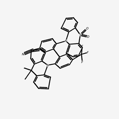 CC1(C)c2ccccc2N(c2ccc(C(F)(F)F)cc2-c2cc(C#N)ccc2N2c3ccccc3S(=O)(=O)c3ccccc32)c2ccccc21